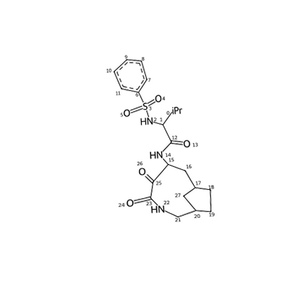 CC(C)C(NS(=O)(=O)c1ccccc1)C(=O)NC1CC2CCC(CNC(=O)C1=O)C2